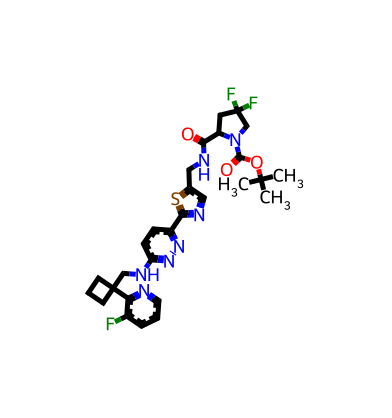 CC(C)(C)OC(=O)N1CC(F)(F)CC1C(=O)NCc1cnc(-c2ccc(NCC3(c4ncccc4F)CCC3)nn2)s1